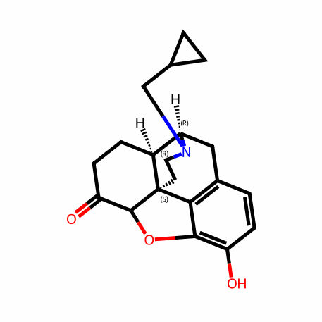 O=C1CC[C@H]2[C@H]3Cc4ccc(O)c5c4[C@@]2(CCN3CC2CC2)C1O5